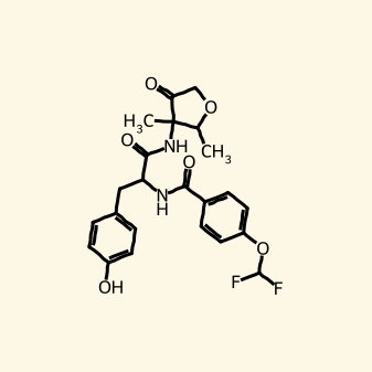 CC1OCC(=O)C1(C)NC(=O)C(Cc1ccc(O)cc1)NC(=O)c1ccc(OC(F)F)cc1